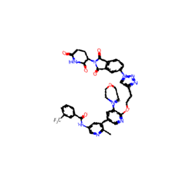 Cc1ncc(NC(=O)c2cccc(C(F)(F)F)c2)cc1-c1cnc(OCCc2cn(-c3ccc4c(c3)C(=O)N(C3CCC(=O)NC3=O)C4=O)nn2)c(N2CCOCC2)c1